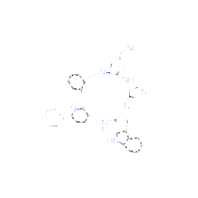 CN1C(=O)[C@H](CN)NC(=O)[C@H](CCCN)NCc2ccccc2Sc2nc(N3CCOCC3)ccc2CNC(=O)[C@@H]1Cc1c[nH]c2ccccc12